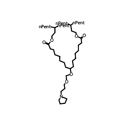 CCCCCC(CCCCC)CCOC(=O)CCCCCCCC(CCCCCCCC(=O)OCCC(CCCCC)CCCCC)OCOCCCN1CCCC1